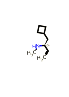 C=C[C@H](CC1CCC1)NC